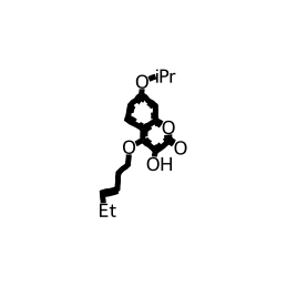 CCC=CCCOc1c(O)c(=O)oc2cc(OC(C)C)ccc12